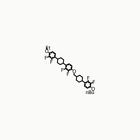 CCCCOc1ccc(C2CCC(COc3ccc(C4CCC(c5ccc(OCC)c(F)c5F)CC4)c(F)c3F)CC2)c(F)c1F